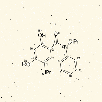 CC(C)c1cc(C(=O)N(c2ccccc2)C(C)C)c(O)cc1O